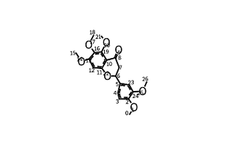 COc1ccc(C2CC(=O)c3c(cc(OC)c(OC)c3OC)O2)cc1OC